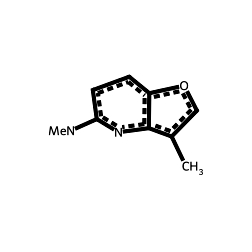 CNc1ccc2occ(C)c2n1